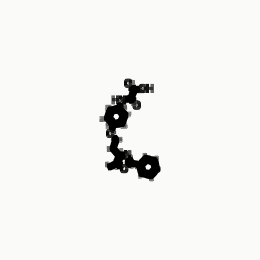 Cc1oc(-c2ccccc2)nc1CCOc1ccc(NC(=O)C(=O)O)cc1